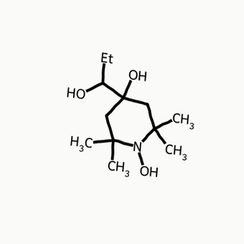 CCC(O)C1(O)CC(C)(C)N(O)C(C)(C)C1